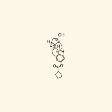 C[C@]12CC[C@@H]3c4ccc(OC(=O)C5CCCC5)cc4CC[C@H]3[C@@]13C[C@H]3C[C@@H]2O